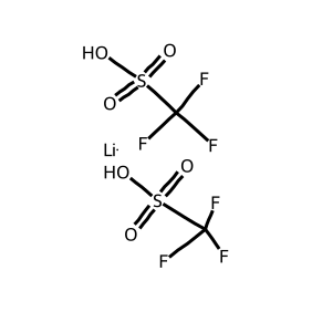 O=S(=O)(O)C(F)(F)F.O=S(=O)(O)C(F)(F)F.[Li]